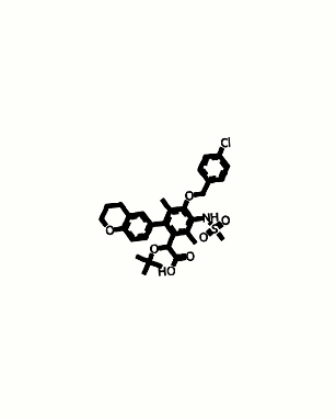 Cc1c(OCc2ccc(Cl)cc2)c(NS(C)(=O)=O)c(C)c(C(OC(C)(C)C)C(=O)O)c1-c1ccc2c(c1)CCCO2